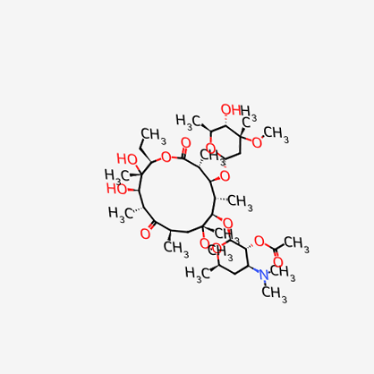 CC[C@H]1OC(=O)[C@H](C)[C@@H](O[C@H]2C[C@@](C)(OC)[C@@H](O)[C@H](C)O2)[C@H](C)[C@@H](O[C@@H]2O[C@H](C)C[C@H](N(C)C)[C@H]2OC(C)=O)[C@](C)(OC)C[C@@H](C)C(=O)[C@H](C)[C@@H](O)[C@]1(C)O